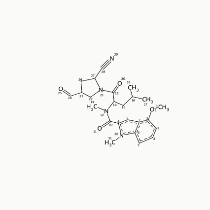 COc1cccc2c1cc(C(=O)N(C)C(CC(C)C)C(=O)N1CC(C=O)CC1C#N)n2C